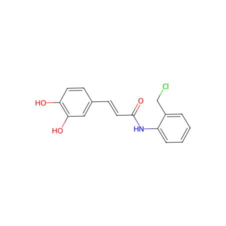 O=C(C=Cc1ccc(O)c(O)c1)Nc1ccccc1CCl